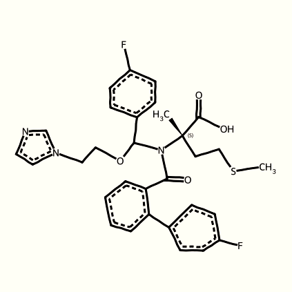 CSCC[C@@](C)(C(=O)O)N(C(=O)c1ccccc1-c1ccc(F)cc1)C(OCCn1ccnc1)c1ccc(F)cc1